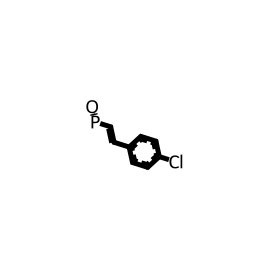 O=PC=Cc1ccc(Cl)cc1